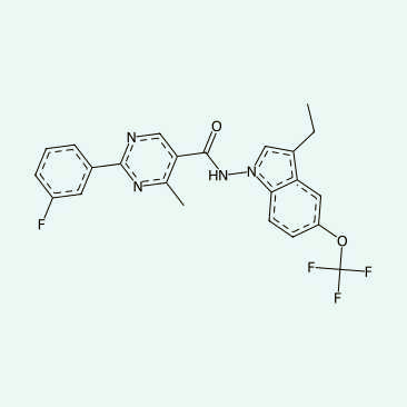 CCc1cn(NC(=O)c2cnc(-c3cccc(F)c3)nc2C)c2ccc(OC(F)(F)F)cc12